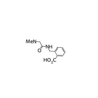 CNCC(=O)NCc1ccccc1C(=O)O